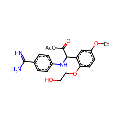 CCOc1ccc(OCCO)c(C(Nc2ccc(C(=N)N)cc2)C(=O)OC(C)=O)c1